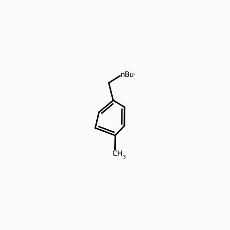 CCC[CH]Cc1ccc(C)cc1